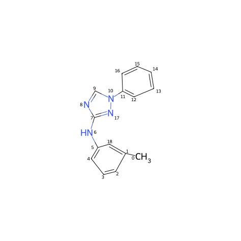 Cc1cccc(Nc2ncn(-c3ccccc3)n2)c1